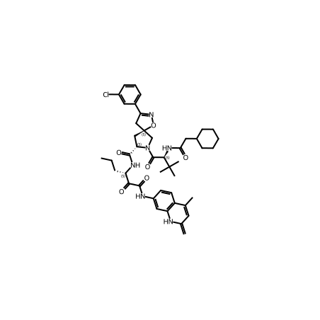 C=C1C=C(C)c2ccc(NC(=O)C(=O)[C@H](CCC)NC(=O)[C@@H]3C[C@]4(CC(c5cccc(Cl)c5)=NO4)CN3C(=O)[C@@H](NC(=O)CC3CCCCC3)C(C)(C)C)cc2N1